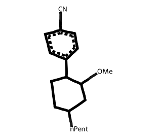 CCCCCC1CCC(c2ccc(C#N)cc2)C(OC)C1